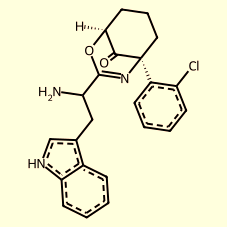 NC(Cc1c[nH]c2ccccc12)C1=N[C@]2(c3ccccc3Cl)CCC[C@H](O1)C2=O